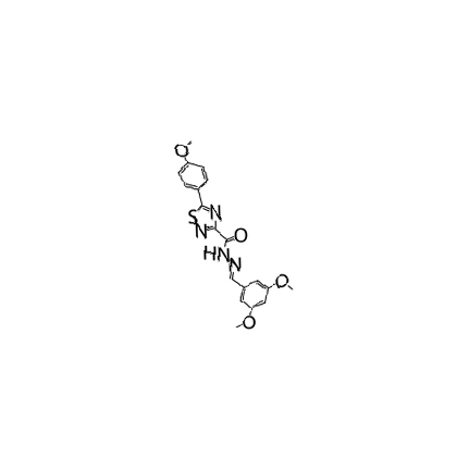 COc1ccc(-c2nc(C(=O)NN=Cc3cc(OC)cc(OC)c3)ns2)cc1